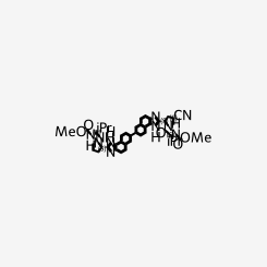 COC(=O)N[C@H](NN1CCC[C@H]1c1nc2ccc3cc(-c4ccc5c(ccc6nc([C@@H]7C[C@H](C#N)CN7C(=O)[C@@H](NC(=O)OC)C(C)C)[nH]c65)c4)ccc3c2[nH]1)C(C)C